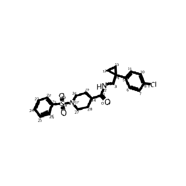 O=C(NCC1(c2ccc(Cl)cc2)CC1)C1CCN(S(=O)(=O)c2ccccc2)CC1